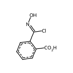 O=C(O)c1ccccc1C(Cl)=NO